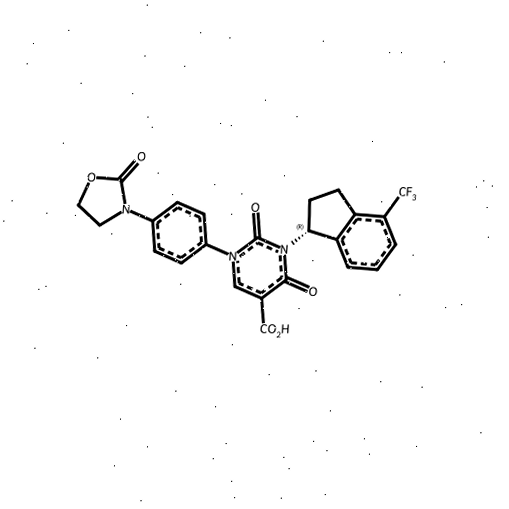 O=C(O)c1cn(-c2ccc(N3CCOC3=O)cc2)c(=O)n([C@@H]2CCc3c2cccc3C(F)(F)F)c1=O